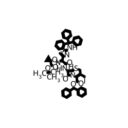 CC(C)(C)OC(=O)C1(ON=C(C(=O)N[C@@H]2C(=O)N3C(C(=O)OC(c4ccccc4)c4ccccc4)=C(CI)CS[C@@H]23)c2csc(NC(c3ccccc3)(c3ccccc3)c3ccccc3)n2)CC1